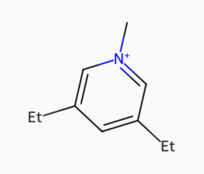 CCc1cc(CC)c[n+](C)c1